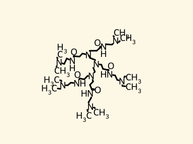 CCN(CC)CCNC(=O)CCN(CCC(=O)NCCN(CC)CC)CCN(CCC(=O)NCCN(CC)CC)CCN(CCC(=O)NCCN(CC)CC)CCC(=O)NCCN(CC)CC